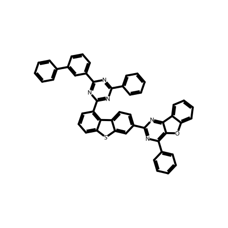 c1ccc(-c2cccc(-c3nc(-c4ccccc4)nc(-c4cccc5sc6cc(-c7nc(-c8ccccc8)c8oc9ccccc9c8n7)ccc6c45)n3)c2)cc1